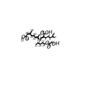 C/C=C(\CCCC(C)C)C(=O)O.CCCCCOC(=O)CO.COC(=O)C=C(C)CCC=C(C)C